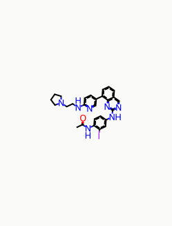 CC(=O)Nc1ccc(Nc2ncc3cccc(-c4ccc(NCCN5CCCC5)nc4)c3n2)cc1I